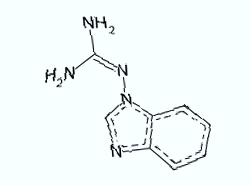 NC(N)=Nn1cnc2ccccc21